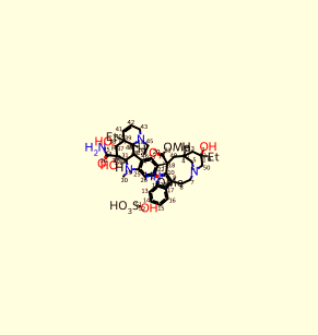 CC[C@]1(O)C[C@@H]2CN(CCc3c([nH]c4ccccc34)[C@@](C(=O)OC)(c3cc4c(cc3OC)N(C)[C@H]3[C@@](O)(C(N)=O)[C@H](O)[C@]5(CC)C=CCN6CC[C@]43[C@@H]65)C2)C1.O=S(=O)(O)O